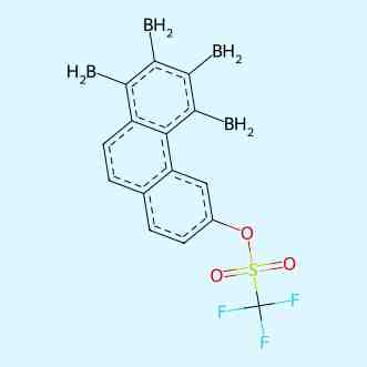 Bc1c(B)c(B)c2c(ccc3ccc(OS(=O)(=O)C(F)(F)F)cc32)c1B